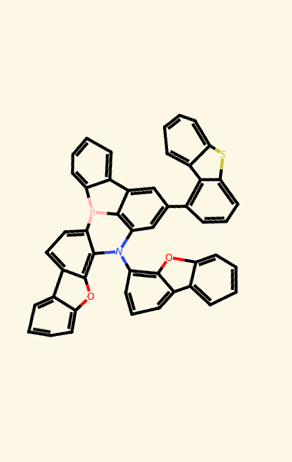 c1ccc2c(c1)B1c3ccc4c(oc5ccccc54)c3N(c3cccc4c3oc3ccccc34)c3cc(-c4cccc5sc6ccccc6c45)cc-2c31